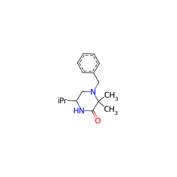 CC(C)C1CN(Cc2ccccc2)C(C)(C)C(=O)N1